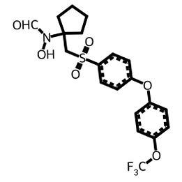 O=CN(O)C1(CS(=O)(=O)c2ccc(Oc3ccc(OC(F)(F)F)cc3)cc2)CCCC1